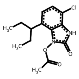 CCC(CC)c1ccc(Cl)c2[nH]c(=O)n(OC(C)=O)c12